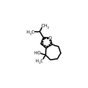 CC(C)c1cc2c(o1)CCCCC2(C)O